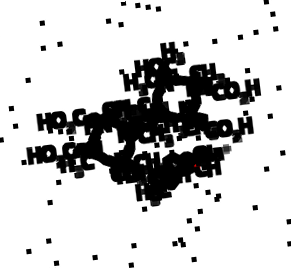 C#CC[C@]12CCC(=O)C=C1CC[C@@H]1[C@@H]2CC[C@]2(C)C(=O)CC[C@@H]12.CC1=C(CCC(=O)O)c2cc3[nH]c(cc4nc(cc5[nH]c(cc1n2)c(C)c5C(C)OC(C)C1=C(C)c2cc5[nH]c(cc6nc(cc7[nH]c(cc1n2)c(C)c7CCC(=O)O)C(CCC(=O)O)=C6C)c(C)c5C(C)O)C(C)=C4C(C)O)c(C)c3CCC(=O)O.[Na+]